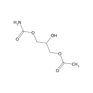 CC(=O)OCC(O)COC(N)=O